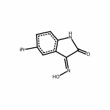 CC(C)c1ccc2c(c1)/C(=N\O)C(=O)N2